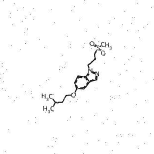 CC(C)CCOc1ccc2c(cnn2CCCS(C)(=O)=O)c1